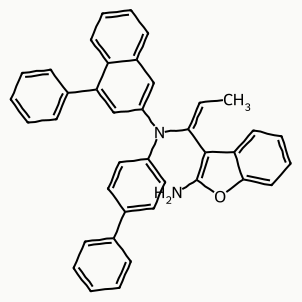 C/C=C(\c1c(N)oc2ccccc12)N(c1ccc(-c2ccccc2)cc1)c1cc(-c2ccccc2)c2ccccc2c1